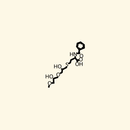 COCC(O)COCC(O)CSCCC(NC(=O)c1ccccc1)C(=O)O